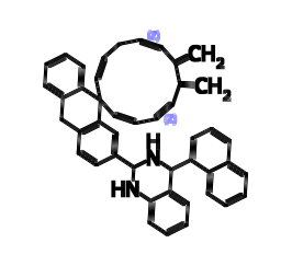 C=C1/C=C\C=CC2(C=CC/C=C\C1=C)c1ccccc1Cc1ccc(C3Nc4ccccc4C(c4cccc5ccccc45)N3)cc12